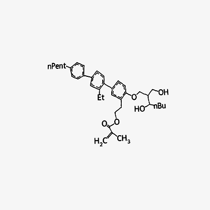 C=C(C)C(=O)OCCc1cc(-c2ccc(-c3ccc(CCCCC)cc3)cc2CC)ccc1OCC(CO)C(O)CCCC